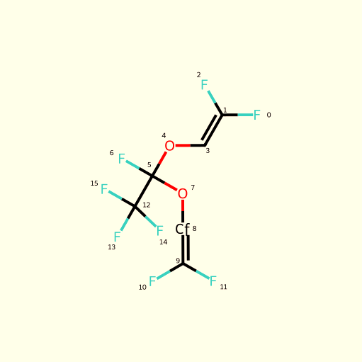 FC(F)=COC(F)([O][Cf]=[C](F)F)C(F)(F)F